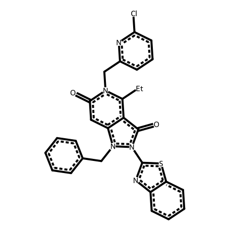 CCc1c2c(=O)n(-c3nc4ccccc4s3)n(Cc3ccccc3)c2cc(=O)n1Cc1cccc(Cl)n1